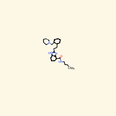 COCCCNC(=O)c1cccc2[nH]c([CH]Cc3ccccc3CN3CCCCC3)nc12